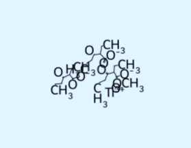 CCCC(=O)C(CC)C(=O)[O-].CCCC(=O)C(CC)C(=O)[O-].CCCC(=O)C(CC)C(=O)[O-].CC[O][Ti+3]